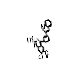 CNc1nc(-c2cccc(-c3cnc4ccccc4c3)c2)c2cc(OC)c(OC)cc2n1